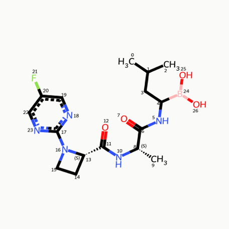 CC(C)CC(NC(=O)[C@H](C)NC(=O)[C@@H]1CCN1c1ncc(F)cn1)B(O)O